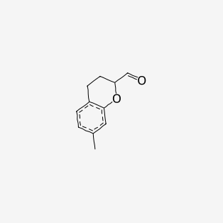 Cc1ccc2c(c1)OC(C=O)CC2